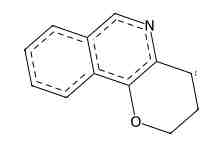 [C]1CCOc2c1ncc1ccccc21